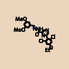 CCOc1cc(Cl)c(-c2cncc(C(=O)N/N=C/c3cc(OC)cc(OC)c3)n2)c(Cl)c1